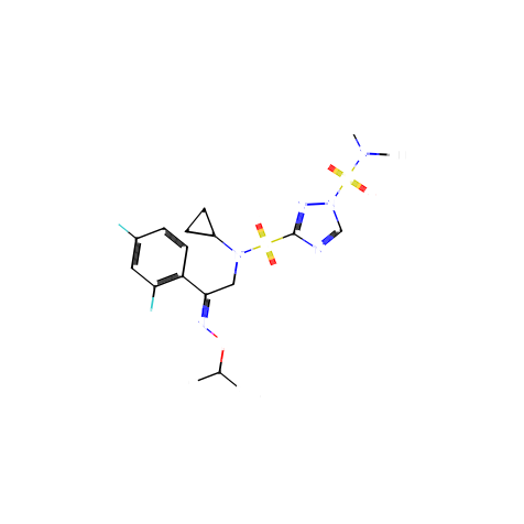 CC(C)O/N=C(\CN(C1CC1)S(=O)(=O)c1ncn(S(=O)(=O)N(C)C)n1)c1ccc(F)cc1F